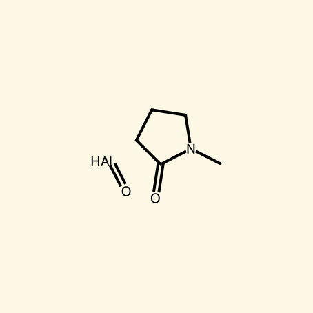 CN1CCCC1=O.[O]=[AlH]